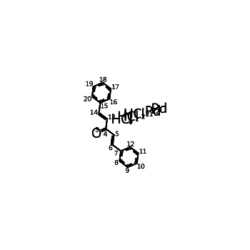 Cl.Cl.Cl.O=C(C=Cc1ccccc1)C=Cc1ccccc1.[Pd].[Pd]